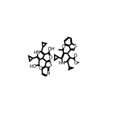 COC(=O)C1=C(C2CC2)NC(C2CC2)=C(C(C)=O)C1c1csc2ccccc12.O=C(O)C1=C(C2CC2)NC(C2CC2)=C(C(=O)O)C1c1csc2ncccc12